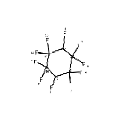 F[C]1C(F)(F)C(F)(F)C(F)C(F)(F)C1(F)F